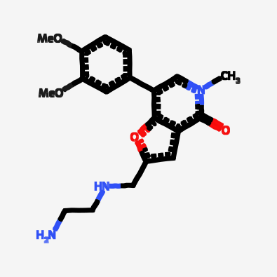 COc1ccc(-c2cn(C)c(=O)c3cc(CNCCN)oc23)cc1OC